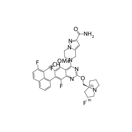 C#Cc1c(F)ccc2cccc(-c3c(F)c(OC)c4c(N5CCn6nc(C(N)=O)cc6C5)nc(OC[C@@]56CCCN5C[C@H](F)C6)nc4c3F)c12